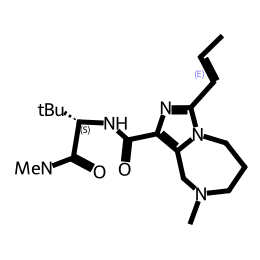 C/C=C/c1nc(C(=O)N[C@H](C(=O)NC)C(C)(C)C)c2n1CCCN(C)C2